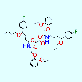 CCCCOC(CCCNC(COc1ccccc1OCC)OC(=O)C(=O)OC(COc1ccccc1OCC)NCCCC(OCCCC)c1ccc(F)cc1)c1ccc(F)cc1